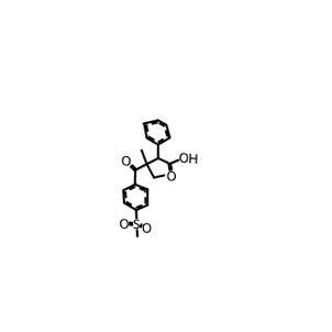 CCC(C)(C(=O)c1ccc(S(C)(=O)=O)cc1)C(C(=O)O)c1ccccc1